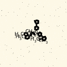 CC1(C)CC(C)(C)c2c(-c3ccc(N(c4ccc(-c5ccccc5)cc4)c4ccc5c(c4)[Si](C)(C)c4ccccc4-5)cc3)cccc21